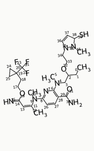 CCC(CN(C)c1nc(N(C)/C(C)=C\C(=N)OCCC2(C(F)(F)F)CC2)ccc1C(N)=O)OCCN1C=CC(S)N1C